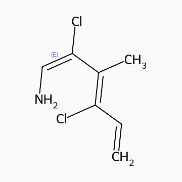 C=CC(Cl)=C(C)/C(Cl)=C\N